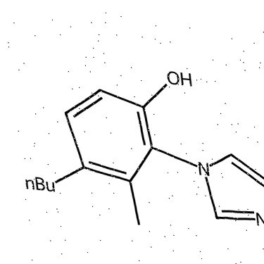 CCCCc1ccc(O)c(-n2ccnc2)c1C